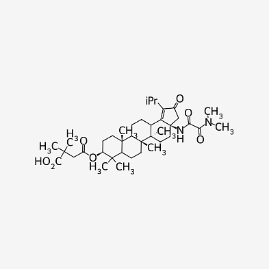 CC(C)C1=C2C3CCC4[C@@]5(C)CC[C@H](OC(=O)CC(C)(C)C(=O)O)C(C)(C)C5CC[C@@]4(C)[C@]3(C)CC[C@@]2(NC(=O)C(=O)N(C)C)CC1=O